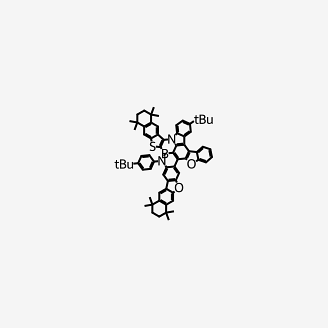 CC(C)(C)c1ccc(N2B3c4sc5cc6c(cc5c4-n4c5ccc(C(C)(C)C)cc5c5c7c(oc8ccccc87)c(c3c54)-c3cc4oc5cc7c(cc5c4cc32)C(C)(C)CCC7(C)C)C(C)(C)CCC6(C)C)cc1